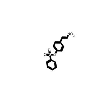 O=[N+]([O-])C=Cc1ccc(OS(=O)(=O)c2ccccc2)cc1